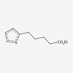 CCOC(=O)CCCCc1cccs1